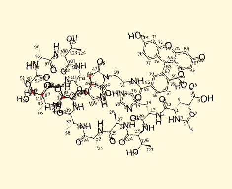 CC(=O)N[C@@H](CCC(=O)O)C(=O)N[C@@H](Cc1c[nH]cn1)C(=O)N[C@H](C(=O)N[C@H](C)C(=O)N[C@H](C)C(=O)N[C@H](C)C(=O)N[C@H](CSC1CC(=O)N(CCNC(=O)c2ccc(C(=O)O)c(-c3c4ccc(=O)cc-4oc4cc(O)ccc34)c2)C1=O)C(=O)N[C@H](C)C(=O)N[C@H](C)C(=O)N[C@H](C)C(=O)N[C@@H](C(=O)N[C@H](Cc1c[nH]cn1)C(=O)N[C@H](CCC(=O)O)C(N)=O)[C@H](C)O)[C@@H](C)O